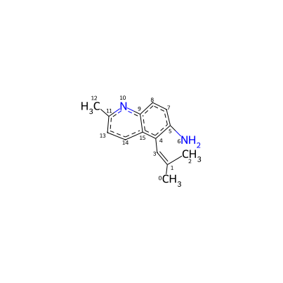 CC(C)=Cc1c(N)ccc2nc(C)ccc12